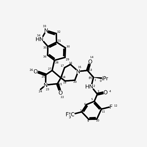 CC(C)[C@@H](NC(=O)c1cc(C(F)(F)F)ccc1F)C(=O)N1CCC2(CC1)C(=O)N(C)C(=O)C2c1ccc2cn[nH]c2c1